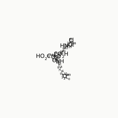 Cc1ccc(CCCCCCCNC(=O)C(OCCCCCCNc2ccc(C)c(Cl)c2)C(OCC(=O)O)C(=O)O)cc1C